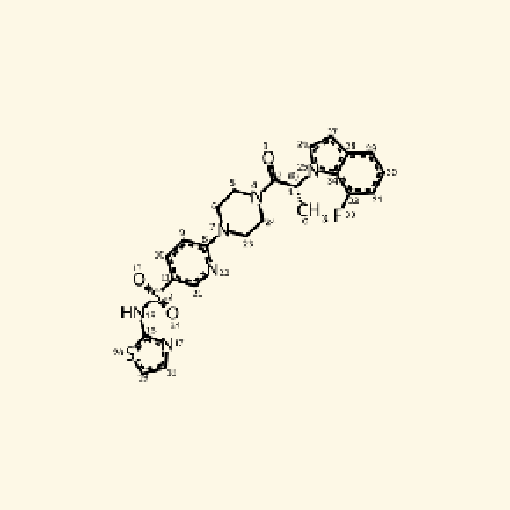 C[C@H](C(=O)N1CCN(c2ccc(S(=O)(=O)Nc3nccs3)cn2)CC1)n1ccc2cccc(F)c21